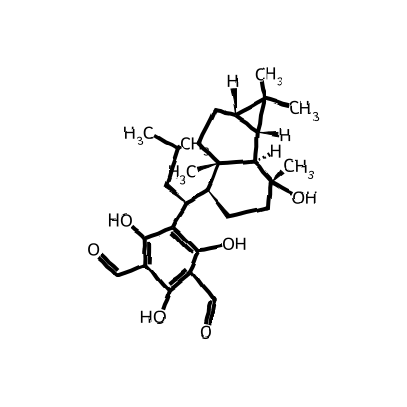 CC(C)C[C@H](c1c(O)c(C=O)c(O)c(C=O)c1O)[C@@H]1CC[C@@](C)(O)[C@@H]2[C@@H]3[C@H](CC[C@]21C)C3(C)C